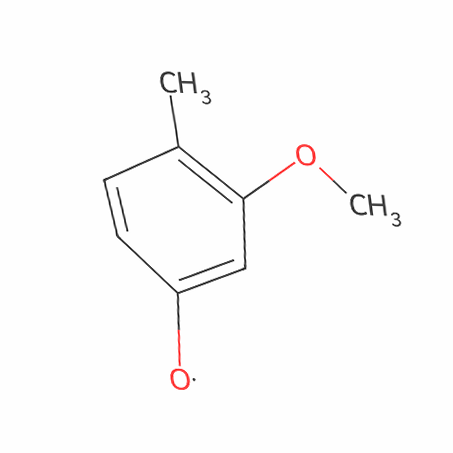 COc1cc([O])ccc1C